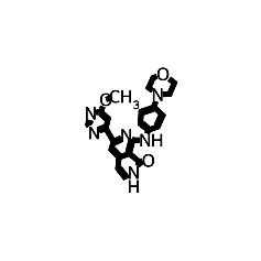 COc1cc(-c2cc3cc[nH]c(=O)c3c(Nc3ccc(N4CCOCC4)cc3)n2)ncn1